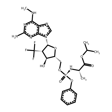 CNc1nc(N)nc2c1ncn2[C@@H]1O[C@H](CO[P@](=O)(N[C@@H](C)C(=O)OC(C)C)Oc2ccccc2)[C@@H](O)[C@@H]1C(F)(F)F